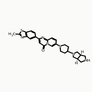 Cc1nc2cc(-c3cc(=O)n4cc(N5CCC(N6C[C@H]7CNC[C@H]7C6)CC5)ccc4n3)ccc2s1